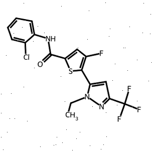 CCn1nc(C(F)(F)F)cc1-c1sc(C(=O)Nc2ccccc2Cl)cc1F